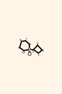 O=P1(C2CCC2)CCCCC1